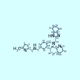 Cc1ccc(CNCc2ccc(CN(Cc3nc4ccccc4[nH]3)C3CCCc4cccnc43)cc2)s1